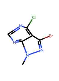 Cn1nc(Br)c2c(Cl)ncnc21